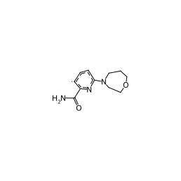 NC(=O)c1[c]ccc(N2CCCOCC2)n1